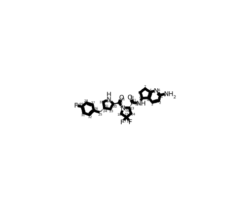 Nc1ccc2c(n1)CCC2NC(=O)[C@@H]1CC(F)(F)CN1C(=O)[C@H]1C[C@H](Cc2ccc(F)cc2)CN1